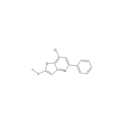 Clc1cc(-c2ccccc2)nc2cc(SI)oc12